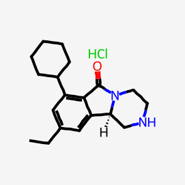 CCc1cc(C2CCCCC2)c2c(c1)[C@@H]1CNCCN1C2=O.Cl